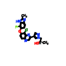 Cc1nc2ccc(Oc3ccc4ncc(-c5cnn(C[C@H](C)O)c5)nc4c3Cl)c(F)c2[nH]1